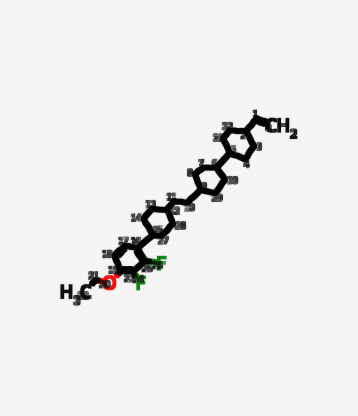 C=CC1CCC(C2CCC(CCC3CCC(c4ccc(OCC)c(F)c4F)CC3)CC2)CC1